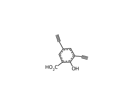 C#Cc1cc(C#C)c(O)c(C(=O)O)c1